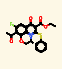 CCOC(=O)c1c(Sc2ccccc2)n2c3c(c(C(C)=O)c(F)cc3c1=O)OCC2C